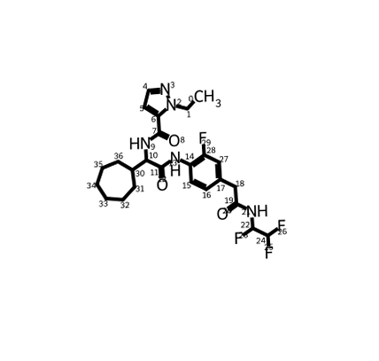 CCn1nccc1C(=O)NC(C(=O)Nc1ccc(CC(=O)NC(F)C(F)F)cc1F)C1CCCCCC1